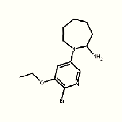 CCOc1cc(N2CCCCCC2N)cnc1Br